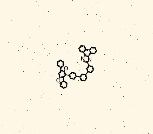 c1cc(-c2ccc(-c3c4oc5ccccc5c4cc4oc5ccccc5c34)cc2)cc(-c2cccc(-c3cnc4c5ccccc5c5ccccc5c4n3)c2)c1